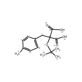 Cc1ccc(CC(OC(C)(C)C)(C(=O)O)C(=O)O)cc1